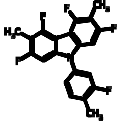 Cc1ccc(-n2c3cc(F)c(C)c(F)c3c3c(F)c(C)c(F)cc32)cc1F